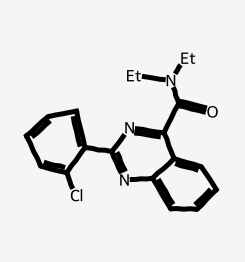 CCN(CC)C(=O)c1nc(-c2ccccc2Cl)nc2ccccc12